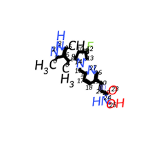 Cc1n[nH]c(C)c1C(C)[C@@H]1C[C@@H](F)CN1Cc1ccc(/C=C/C(=O)NO)cn1